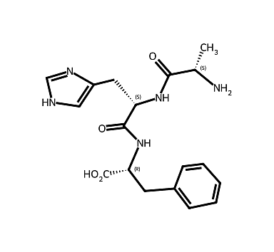 C[C@H](N)C(=O)N[C@@H](Cc1c[nH]cn1)C(=O)N[C@H](Cc1ccccc1)C(=O)O